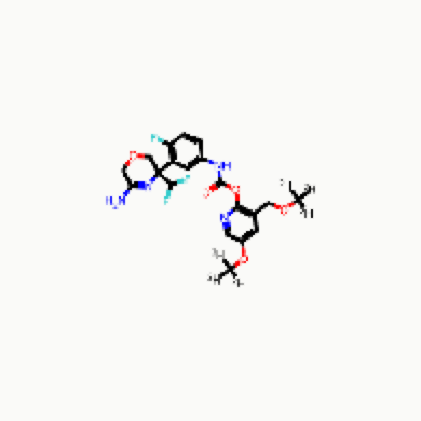 [2H]C([2H])([2H])OCc1cc(OC([2H])([2H])[2H])cnc1OC(=O)Nc1ccc(F)c(C2(C(F)F)COCC(N)=N2)c1